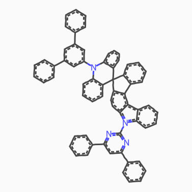 c1ccc(-c2cc(-c3ccccc3)cc(N3c4ccccc4C4(c5ccccc5-c5c4ccc4c5c5ccccc5n4-c4nc(-c5ccccc5)cc(-c5ccccc5)n4)c4ccccc43)c2)cc1